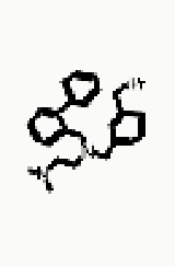 CC(C)Cc1cccc(CN(CCN(C)C)Cc2ccccc2-c2ccccc2)c1